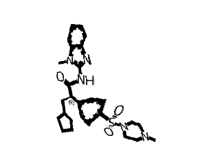 CN1CCN(S(=O)(=O)c2ccc([C@@H](CC3CCCC3)C(=O)Nc3nc4ccccc4n3C)cc2)CC1